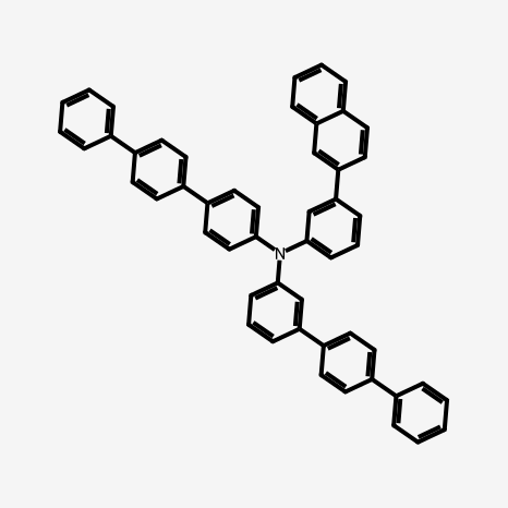 c1ccc(-c2ccc(-c3ccc(N(c4cccc(-c5ccc(-c6ccccc6)cc5)c4)c4cccc(-c5ccc6ccccc6c5)c4)cc3)cc2)cc1